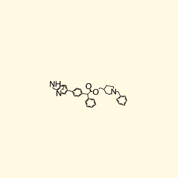 NCc1ccc(-c2ccc(C(C(=O)OCC3CCN(Cc4ccccc4)CC3)c3ccccc3)cc2)cn1